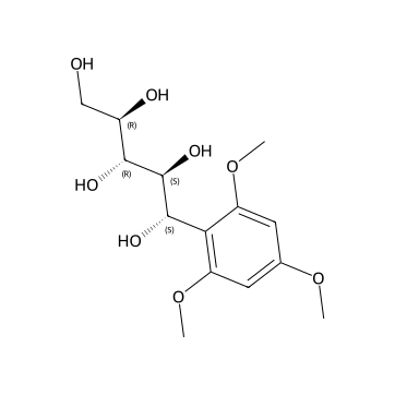 COc1cc(OC)c([C@H](O)[C@H](O)[C@H](O)[C@H](O)CO)c(OC)c1